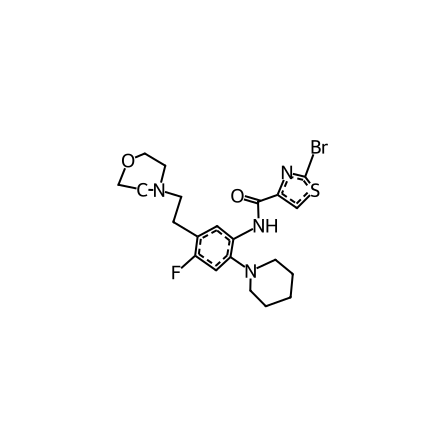 O=C(Nc1cc(CCN2CCOCC2)c(F)cc1N1CCCCC1)c1csc(Br)n1